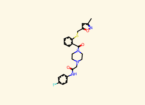 Cc1cc(CSc2ccccc2C(=O)N2CCN(CC(=O)Nc3ccc(F)cc3)CC2)on1